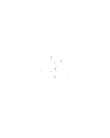 CCCCOC(=O)OCCCC.CCCCOC(=O)OCCCC.N[C@@H](CC(=O)O)C(=O)O